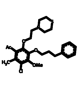 COc1c(Cl)c(C)c(C(C)=O)c(OCCN2CCSCC2)c1OCCCc1ccccc1